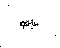 Cc1cccc2nc(NC(=O)C(F)(F)F)cn12